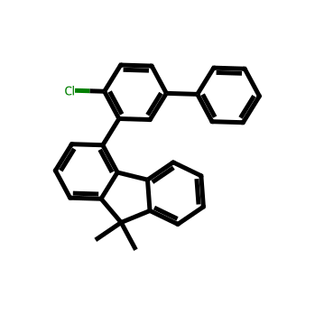 CC1(C)c2ccccc2-c2c(-c3cc(-c4ccccc4)ccc3Cl)cccc21